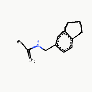 C=C(NCc1ccc2c(c1)CCC2)C(C)C